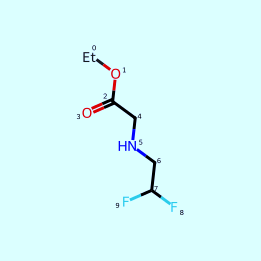 CCOC(=O)CNCC(F)F